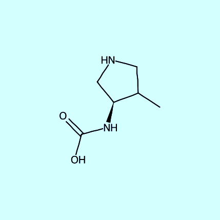 CC1CNC[C@@H]1NC(=O)O